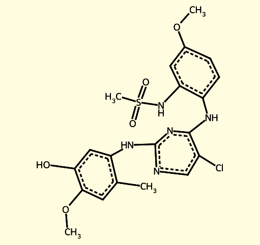 COc1ccc(Nc2nc(Nc3cc(O)c(OC)cc3C)ncc2Cl)c(NS(C)(=O)=O)c1